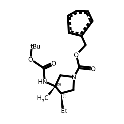 CC[C@@H]1CN(C(=O)OCc2ccccc2)C[C@@]1(C)NC(=O)OC(C)(C)C